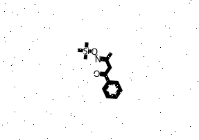 CC(CC(=O)c1ccccc1)=NO[Si](C)(C)C